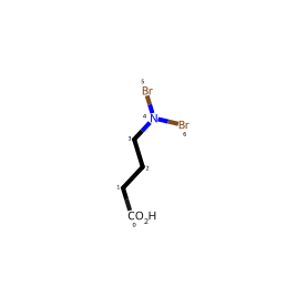 O=C(O)CCCN(Br)Br